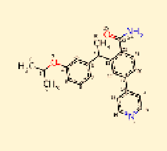 CC(C)Oc1cccc(C(C)c2cc(-c3ccncc3)ccc2C(N)=O)c1